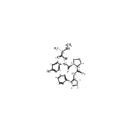 CN[C@@H](C)C(=O)N[C@H](C(=O)N1CCC[C@H]1C(=O)Nc1snnc1-c1ccccc1)c1ccc(Cl)cc1